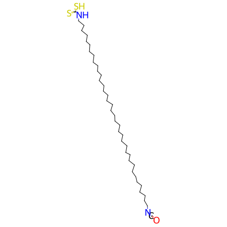 O=C=NCCCCCCCCCCCCCCCCCCCCCCCCCCCCCCCCCCCCCCNC(=S)S